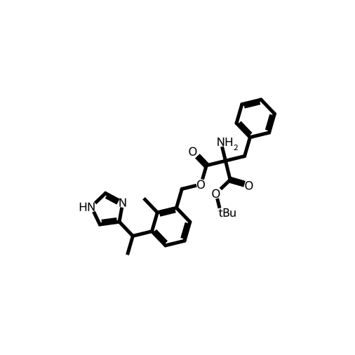 Cc1c(COC(=O)C(N)(Cc2ccccc2)C(=O)OC(C)(C)C)cccc1C(C)c1c[nH]cn1